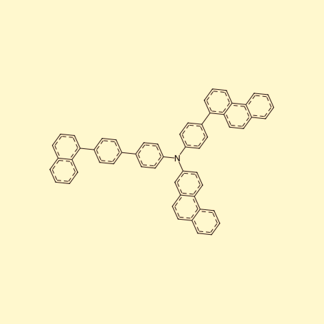 c1ccc2c(-c3ccc(-c4ccc(N(c5ccc(-c6cccc7c6ccc6ccccc67)cc5)c5ccc6c(ccc7ccccc76)c5)cc4)cc3)cccc2c1